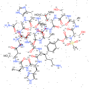 CC[C@H](C)[C@H](NC(=O)[C@H](CCC(=O)O)NC(=O)[C@H](CO)NC(=O)[C@@H](NC(=O)[C@H](CO)N(C(=O)OCc1ccccc1)S(C)(=O)=O)C(C)C)C(=O)N[C@@H](CCC(N)=O)C(=O)N[C@@H](CC(C)C)C(=O)N[C@@H](CCSC)C(=O)N[C@@H](Cc1c[nH]cn1)C(=O)N[C@@H](CC(N)=O)C(=O)N[C@@H](CC(C)C)C(=O)NCC(=O)N[C@@H](CCCCN)C(=O)N[C@@H](Cc1c[nH]cn1)C(=O)N[C@@H](CC(C)C)C(=O)N[C@@H](CC(N)=O)C(=O)O